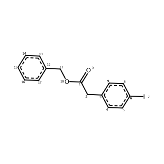 O=C(Cc1ccc(I)cc1)OCc1ccccc1